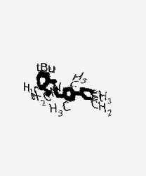 C=C(/C=C(\C=C/C)c1cc(C)c(CN2N=Cc3cc(C(C)(C)C)cc(C)c3C2=C)cc1C)CC